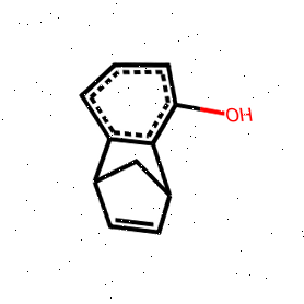 Oc1cccc2c1C1C=CC2C1